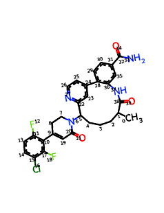 CC1CCCC(N2CCC(c3c(F)ccc(Cl)c3F)=CC2=O)c2cc(ccn2)-c2ccc(C(N)=O)cc2NC1=O